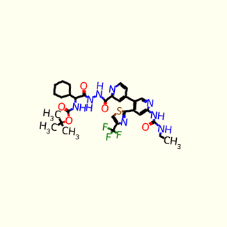 CCNC(=O)Nc1cc(-c2nc(C(F)(F)F)cs2)c(-c2ccnc(C(=O)NNC(=O)C(NC(=O)OC(C)(C)C)C3CCCCC3)c2)cn1